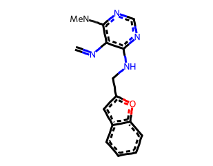 C=Nc1c(NC)ncnc1NCc1cc2ccccc2o1